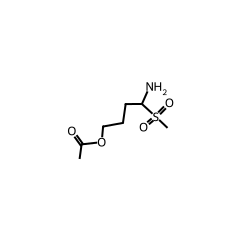 CC(=O)OCCCC(N)S(C)(=O)=O